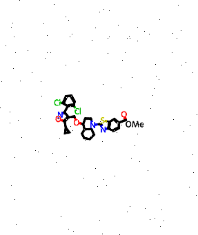 COC(=O)c1ccc2nc(N3CCC(OCc4c(-c5c(Cl)cccc5Cl)noc4C4CC4)C4CCCCC43)sc2c1